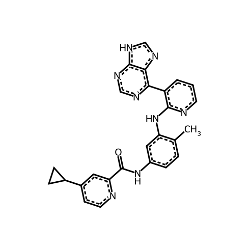 Cc1ccc(NC(=O)c2cc(C3CC3)ccn2)cc1Nc1ncccc1-c1ncnc2[nH]cnc12